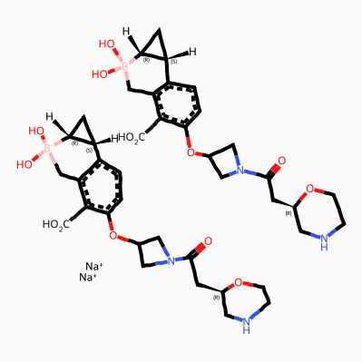 O=C(O)c1c(OC2CN(C(=O)C[C@@H]3CNCCO3)C2)ccc2c1C[B-](O)(O)[C@@H]1C[C@H]21.O=C(O)c1c(OC2CN(C(=O)C[C@@H]3CNCCO3)C2)ccc2c1C[B-](O)(O)[C@@H]1C[C@H]21.[Na+].[Na+]